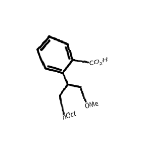 CCCCCCCCCC(COC)c1ccccc1C(=O)O